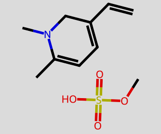 C=CC1=CC=C(C)N(C)C1.COS(=O)(=O)O